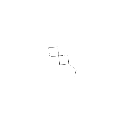 PNC1CC2(CCC2)C1